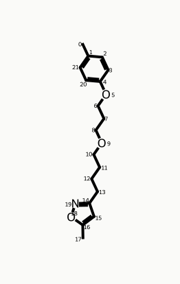 Cc1ccc(OCCCOCCCCc2cc(C)on2)cc1